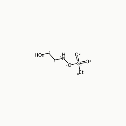 CCS(=O)(=O)ONCCO